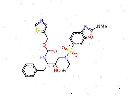 CNc1nc2ccc(S(=O)(=O)N(CC(C)C)C[C@@H](O)[C@H](Cc3ccccc3)NC(=O)OCc3cncs3)cc2o1